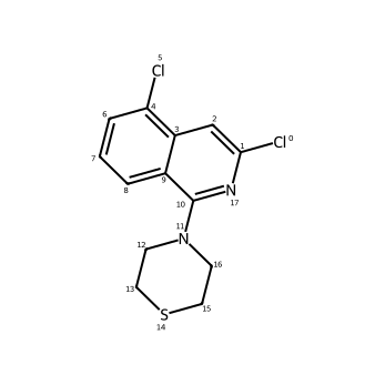 Clc1cc2c(Cl)cccc2c(N2CCSCC2)n1